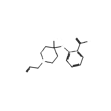 C=CCN1CCC(Nc2ccccc2C(=O)CC)(C(=O)OCC)CC1